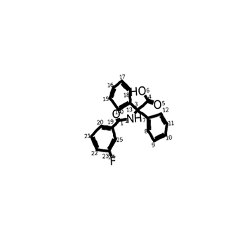 O=C(NC(C(=O)O)(c1ccccc1)c1ccccc1)c1cccc(F)c1